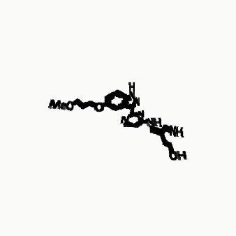 COCCCOc1ccc2[nH]nc(-c3nccc(N/C=C(\C=N)CCO)n3)c2c1